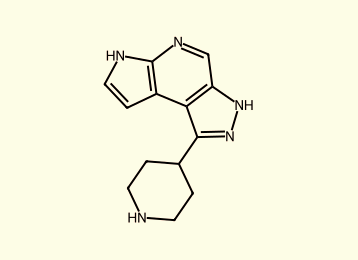 c1cc2c(ncc3[nH]nc(C4CCNCC4)c32)[nH]1